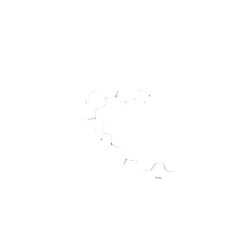 O=C(COc1ccc(Cl)c(F)c1)NC12CC(C1)[C@@H](NC(=O)C1CC(C(=O)NC3CC(F)(F)C3)CCN1)C2